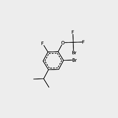 CC(C)c1cc(F)c(OC(F)(F)Br)c(Br)c1